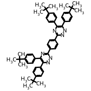 CC(C)(C)c1ccc(-c2nnc(-c3ccc(-c4nnc(-c5ccc(C(C)(C)C)cc5)c(-c5ccc(C(C)(C)C)cc5)n4)cc3)nc2-c2ccc(C(C)(C)C)cc2)cc1